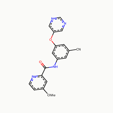 COc1ccnc(C(=O)Nc2cc(C#N)cc(Oc3cncnc3)c2)c1